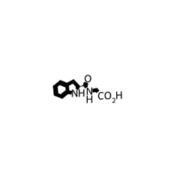 O=C(O)CNC(=O)[C@H]1Cc2ccccc2N1